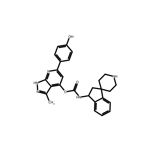 Cc1n[nH]c2nc(-c3ccc(O)cc3)cc(OC(=O)NC3CC4(CCNCC4)c4ccccc43)c12